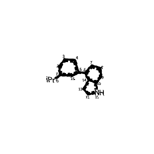 CC(C)c1cccc(-c2cccc3[nH]ccc23)c1